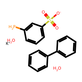 O.O.O=S(=O)([O-])c1cccc(P)c1.[K+].c1ccc(-c2ccccc2)cc1